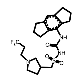 O=C(Nc1c2c(cc3c1CCC3)CCC2)NS(=O)(=O)CC1CCN(CCC(F)(F)F)C1